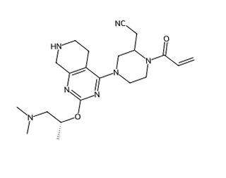 C=CC(=O)N1CCN(c2nc(O[C@H](C)CN(C)C)nc3c2CCNC3)CC1CC#N